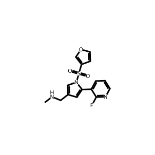 CNCc1cc(-c2cccnc2F)n(S(=O)(=O)c2ccoc2)c1